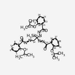 CC(C)Oc1ccccc1C(=O)N=NCC([SiH3])(N=NC(=O)c1ccccc1OC(C)C)N=NC(=O)c1ccccc1OC(C)C